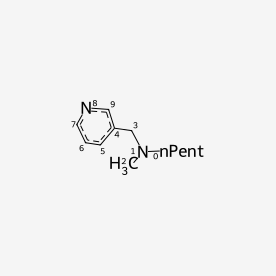 CCCCCN(C)Cc1cccnc1